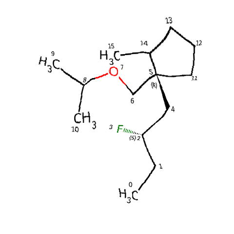 CC[C@H](F)C[C@]1(COC(C)C)CCCC1C